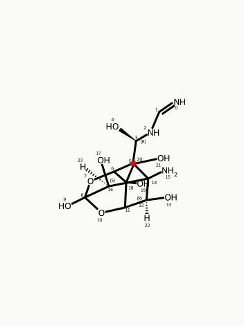 N=CN[C@H](O)C1C2OC3(O)OC([C@H](O)C1(N)[C@@H]3O)C2(O)CO